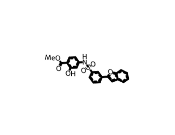 COC(=O)c1ccc(NS(=O)(=O)c2cccc(-c3cc4ccccc4o3)c2)cc1O